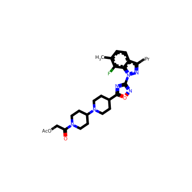 CC(=O)OCC(=O)N1CCC(N2CCC(c3nc(-n4nc(C(C)C)c5ccc(C)c(F)c54)no3)CC2)CC1